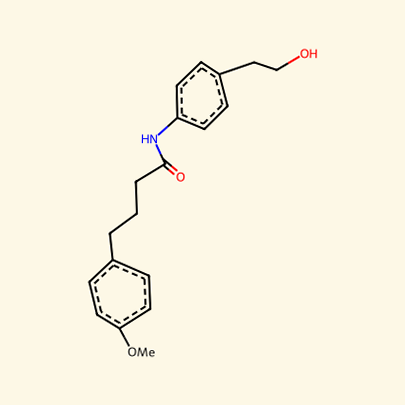 COc1ccc(CCCC(=O)Nc2ccc(CCO)cc2)cc1